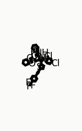 O=C(NN1CCCCC1)c1nn(-c2ccc(Cl)cc2Cl)c(-c2ccc(C#Cc3ccc(C(F)(F)F)cc3)s2)c1CNS(=O)(=O)C1CCCCC1